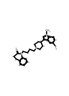 Cn1cc(C2CCN(CCCCN3C(=O)CCc4ccccc43)CC2)c2cc(F)ccc21